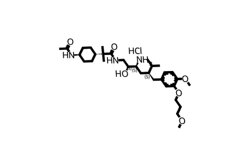 COCCCOc1cc(C[C@@H](C[C@H](N)[C@@H](O)CNC(=O)C(C)(C)[C@H]2CC[C@H](NC(C)=O)CC2)C(C)C)ccc1OC.Cl